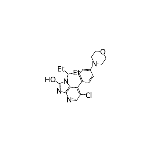 CCC(CC)n1c(O)nc2ncc(Cl)c(-c3ccc(N4CCOCC4)cc3)c21